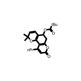 CCCc1cc(=O)oc2c1C1=C(C=CC(C)(C)O1)C(OC(=O)C(C)(C)C)C2